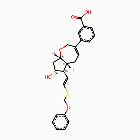 O=C(O)c1cccc(C2=CC[C@@H]3[C@@H](/C=C/SCOc4ccccc4)[C@H](O)C[C@@H]3OC2)c1